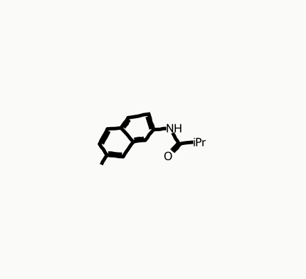 Cc1ccc2ccc(NC(=O)C(C)C)cc2c1